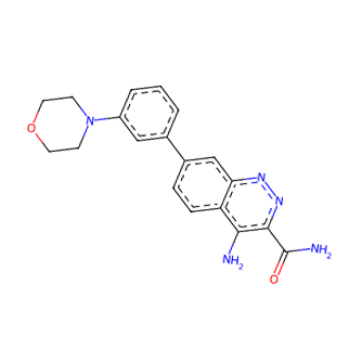 NC(=O)c1nnc2cc(-c3cccc(N4CCOCC4)c3)ccc2c1N